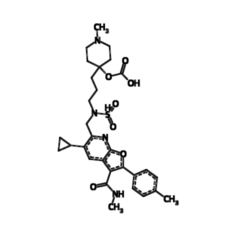 CNC(=O)c1c(-c2ccc(C)cc2)oc2nc(CN(CCCC3(OC(=O)O)CCN(C)CC3)[SH](=O)=O)c(C3CC3)cc12